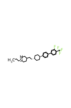 CCC[SiH]1CCC(CC[C@H]2CC[C@H](c3ccc(-c4ccc(C(F)(F)F)c(F)c4)cc3)CC2)CC1